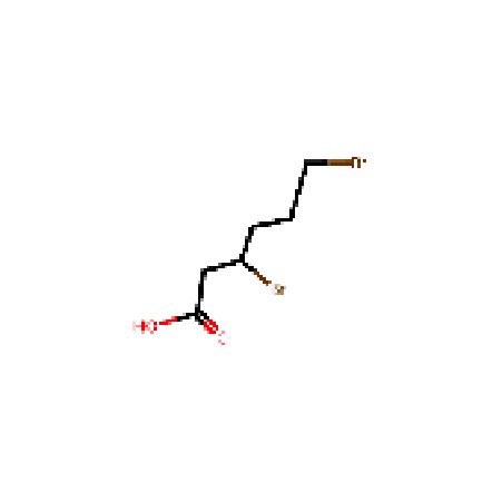 O=C(O)CC(Br)CCCBr